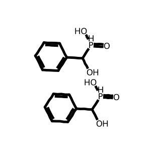 O=[PH](O)C(O)c1ccccc1.O=[PH](O)C(O)c1ccccc1